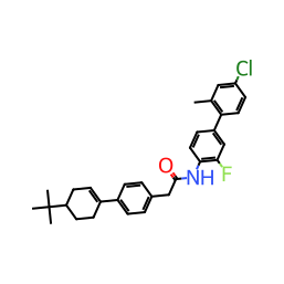 Cc1cc(Cl)ccc1-c1ccc(NC(=O)Cc2ccc(C3=CCC(C(C)(C)C)CC3)cc2)c(F)c1